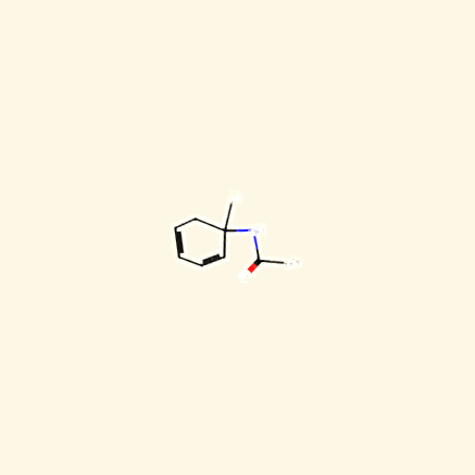 CCCC(=O)NC1(CC)C=CC=CC1